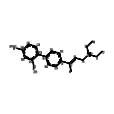 CCN(CC)CC=C(C)c1ccc(-c2ccc(F)cc2F)cc1